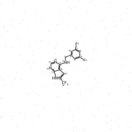 Fc1cc(F)cc(CNc2ncnc3[nH]c(C(F)(F)F)cc23)c1